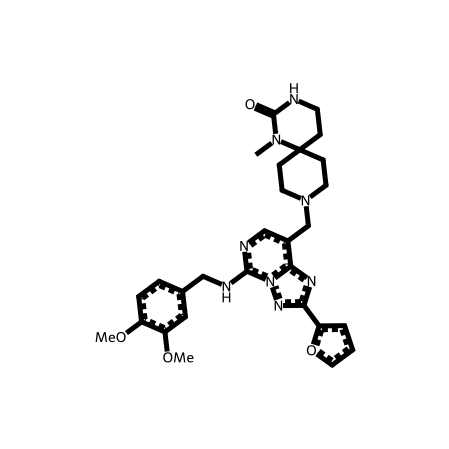 COc1ccc(CNc2ncc(CN3CCC4(CCNC(=O)N4C)CC3)c3nc(-c4ccco4)nn23)cc1OC